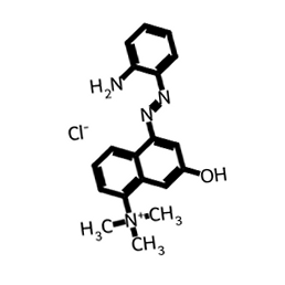 C[N+](C)(C)c1cccc2c(/N=N/c3ccccc3N)cc(O)cc12.[Cl-]